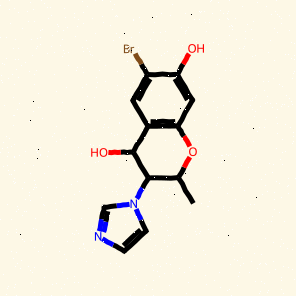 CC1Oc2cc(O)c(Br)cc2C(O)C1n1ccnc1